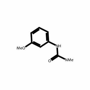 CNC(=O)Nc1[c]c(OC)ccc1